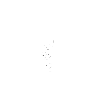 CC(C)C[C@H](NC(=O)c1cnn2c(C3CCCCC3)c(-c3ccc(F)cc3)cnc12)C(=O)O